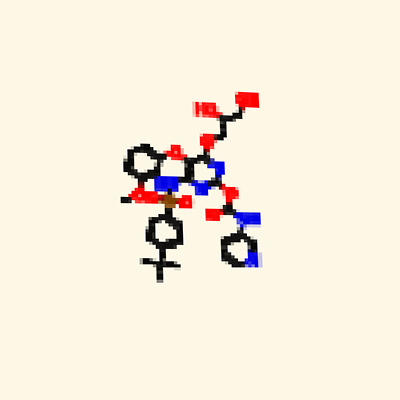 COc1cccc(Oc2c(NS(=O)(=O)c3ccc(C(C)(C)C)cc3)nc(OC(=O)Nc3cccnc3)nc2OCC(O)CO)c1